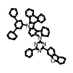 c1ccc(-c2cc(-c3ccccc3)cc(-n3c4ccc5c(c6ccccc6n5-c5nc(-c6ccccc6)nc(-c6ccc7c(c6)oc6ccccc67)n5)c4c4c5ccccc5c5ccccc5c43)c2)cc1